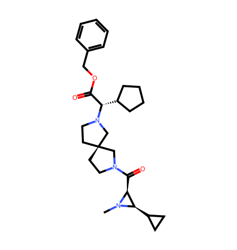 CN1[C@H](C2CC2)[C@@H]1C(=O)N1CC[C@]2(CCN([C@H](C(=O)OCc3ccccc3)C3CCCC3)C2)C1